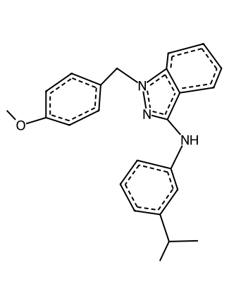 COc1ccc(Cn2nc(Nc3cccc(C(C)C)c3)c3ccccc32)cc1